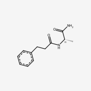 C[C@H](NC(=O)CCc1ccccc1)C(N)=O